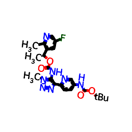 Cc1ncc(F)cc1[C@@H](C)OC(=O)Nc1c(-c2ccc(NC(=O)OC(C)(C)C)cn2)nnn1C